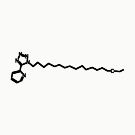 CCCCCCCCCCCCCCCCCCn1nnnc1-c1ccccn1